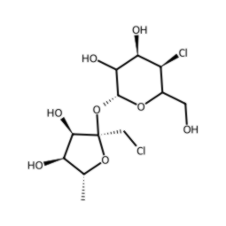 C[C@H]1O[C@](CCl)(O[C@H]2OC(CO)[C@H](Cl)[C@H](O)C2O)[C@H](O)[C@@H]1O